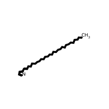 CCCCCCCCCCCCCCCCCCCCCCCCCCC/C=C/C1=CC=C[N]1